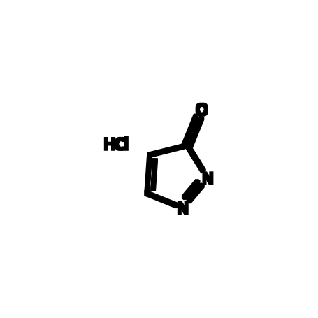 Cl.O=C1C=CN=N1